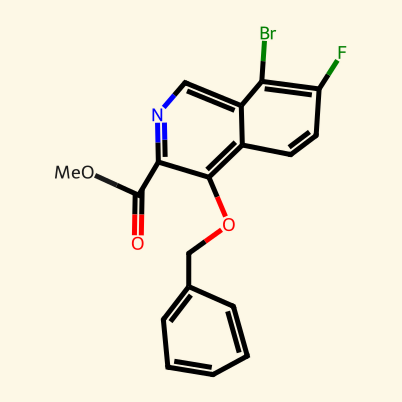 COC(=O)c1ncc2c(Br)c(F)ccc2c1OCc1ccccc1